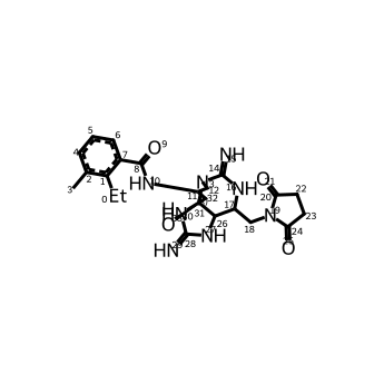 CCc1c(C)cccc1C(=O)NC1CN2C(=N)NC(CN3C(=O)CCC3=O)C3NC(=N)NC32[C@@H]1O